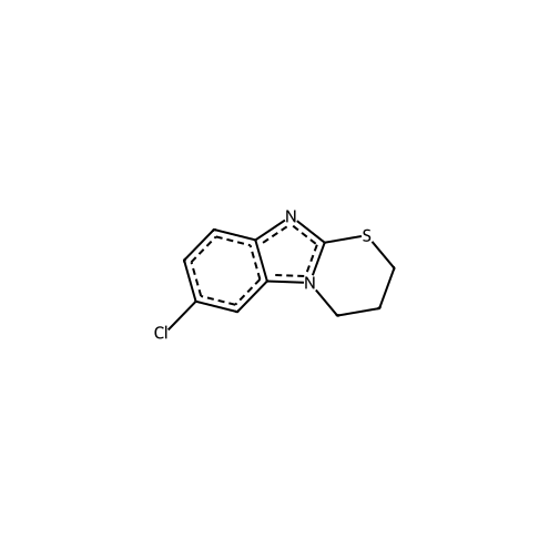 Clc1ccc2nc3n(c2c1)CCCS3